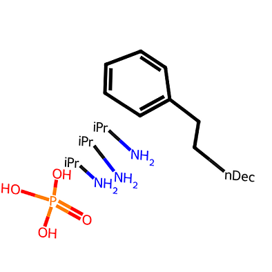 CC(C)N.CC(C)N.CC(C)N.CCCCCCCCCCCCc1ccccc1.O=P(O)(O)O